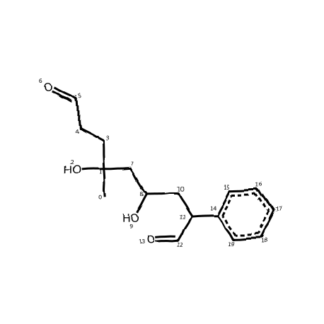 CC(O)(CC[C]=O)CC(O)CC(C=O)c1ccccc1